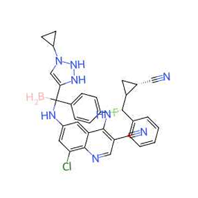 BC(Nc1cc(Cl)c2ncc(C#N)c(N[C@@H](c3ccccc3)C3C[C@@H]3C#N)c2c1)(C1=CN(C2CC2)NN1)c1ccc(F)cc1